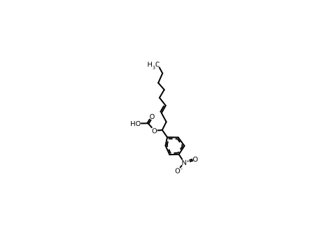 CCCCCC=CCC(OC(=O)O)c1ccc([N+](=O)[O-])cc1